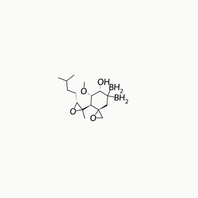 BC1(B)C[C@]2(CO2)[C@@H](C2(C)O[C@@H]2CCC(C)C)[C@H](OC)[C@@H]1O